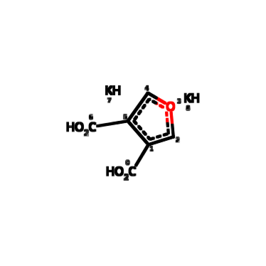 O=C(O)c1cocc1C(=O)O.[KH].[KH]